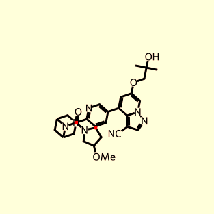 COC1CCN(C(=O)N2C3CC2CN(c2ccc(-c4cc(OCC(C)(C)O)cn5ncc(C#N)c45)cn2)C3)C1